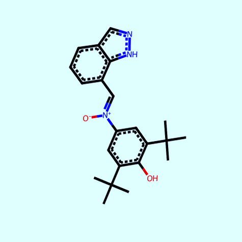 CC(C)(C)c1cc(/[N+]([O-])=C/c2cccc3cn[nH]c23)cc(C(C)(C)C)c1O